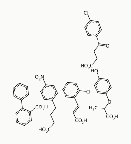 CC(Oc1ccc(O)cc1)C(=O)O.O=C(O)C=Cc1ccccc1Cl.O=C(O)CCC(=O)c1ccc(Cl)cc1.O=C(O)CCCc1ccc([N+](=O)[O-])cc1.O=C(O)c1ccccc1-c1ccccc1